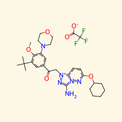 COc1c(N2CCOCC2)cc(C(=O)C[n+]2nc(N)n3nc(OC4CCCCC4)ccc32)cc1C(C)(C)C.O=C([O-])C(F)(F)F